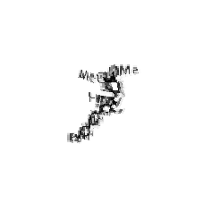 COc1ccc(-c2nc3c(C)cc(C4CCN(C5CCN(C(C)C)CC5)CC4)cc3[nH]2)cc1OC